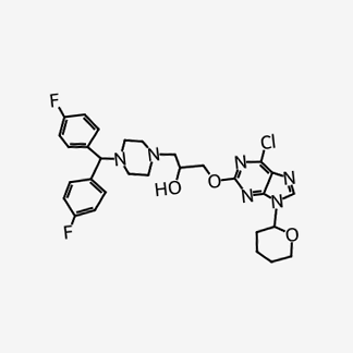 OC(COc1nc(Cl)c2ncn(C3CCCCO3)c2n1)CN1CCN(C(c2ccc(F)cc2)c2ccc(F)cc2)CC1